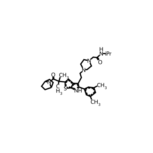 Cc1cc(C)cc(-c2[nH]c3sc(C(C)(C)C(=O)N4C5CCC4CC5)cc3c2CCN2CCN(CC(=O)NC(C)C)CC2)c1